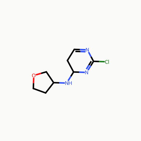 ClC1=NC(NC2CCOC2)CC=N1